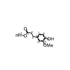 CCCOC(=O)CCc1ccc(O)c(OC)c1